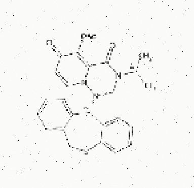 CC(=O)Oc1c2n(ccc1=O)N([C@H]1c3ccccc3CSc3ccccc31)CN([C@H](C)C(F)(F)F)C2=O